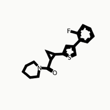 O=C(C1CC1c1cc(-c2ccccc2F)cs1)N1CCCCC1